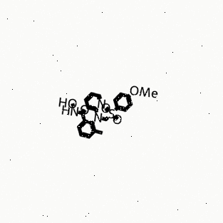 COc1ccc(S(=O)(=O)CN(c2ccccn2)c2c(C)cccc2C(=O)NO)cc1